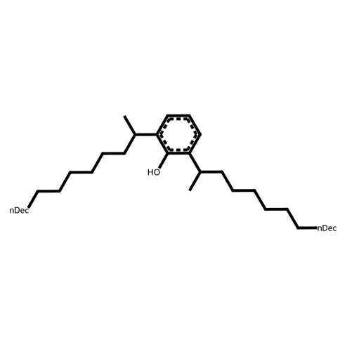 CCCCCCCCCCCCCCCCC(C)c1cccc(C(C)CCCCCCCCCCCCCCCC)c1O